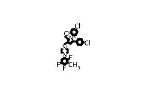 CCc1c(CN2CCN(c3cc(F)c(F)c(C)c3F)CC2)cc(-c2ccc(Cl)cc2)n1-c1ccc(Cl)cc1